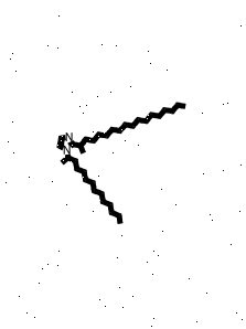 CCCCCCCCCCCCCCCCC(C)c1nccn1C(C)CCCCCCCCCCCC